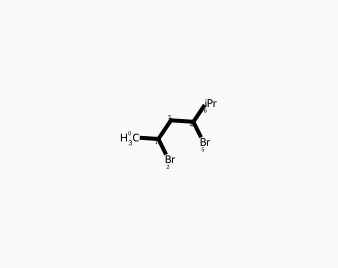 CC(Br)CC(Br)C(C)C